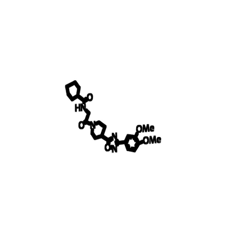 COc1ccc(-c2noc(C3CCN(C(=O)CNC(=O)C4CCCCC4)CC3)n2)cc1OC